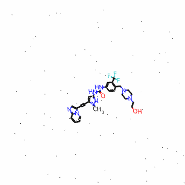 Cn1nc(NC(=O)Nc2ccc(CN3CCN(CCO)CC3)c(C(F)(F)F)c2)cc1C#Cc1cnc2ccccn12